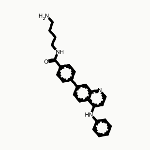 NCCCCNC(=O)c1ccc(-c2ccc3c(Nc4ccccc4)ccnc3c2)cc1